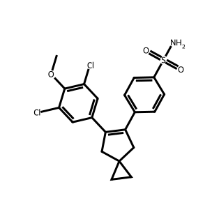 COc1c(Cl)cc(C2=C(c3ccc(S(N)(=O)=O)cc3)CC3(CC3)C2)cc1Cl